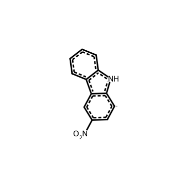 O=[N+]([O-])c1c[c]c2[nH]c3ccccc3c2c1